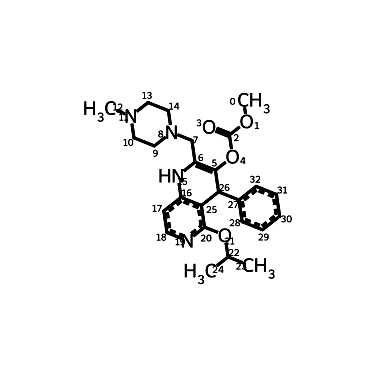 COC(=O)OC1=C(CN2CCN(C)CC2)Nc2ccnc(OC(C)C)c2C1c1ccccc1